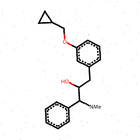 CNC(c1ccccc1)C(O)Cc1cccc(OCC2CC2)c1